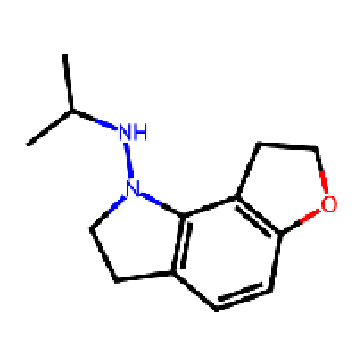 CC(C)NN1CCc2ccc3c(c21)CCO3